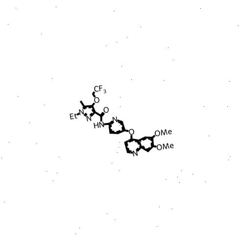 CCn1nc(C(=O)Nc2ccc(Oc3ccnc4cc(OC)c(OC)cc34)cn2)c(OCC(F)(F)F)c1C